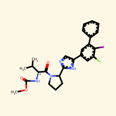 COC(=O)N[C@H](C(=O)N1CCCC1c1ncc(-c2cc(F)c(I)c(-c3ccccc3)c2)[nH]1)C(C)C